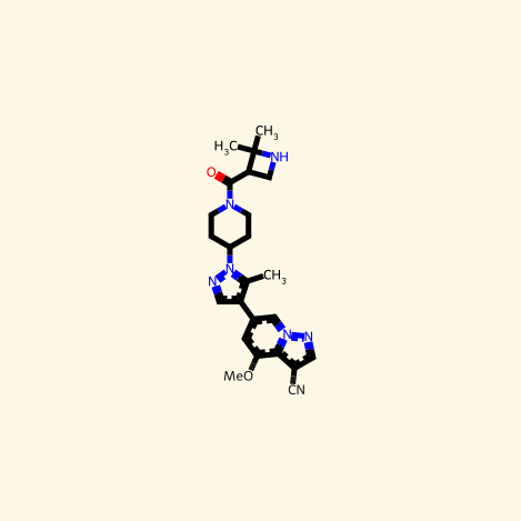 COc1cc(-c2cnn(C3CCN(C(=O)C4CNC4(C)C)CC3)c2C)cn2ncc(C#N)c12